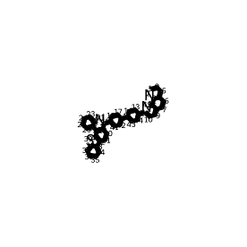 c1cnc2c(c1)ccc1ccc(-c3ccc(-c4ccc(-c5nc6ccccc6c6c5ccc5c7ccccc7sc56)cc4)cc3)nc12